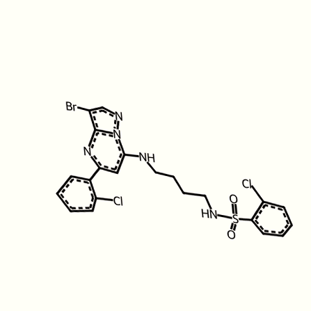 O=S(=O)(NCCCCNc1cc(-c2ccccc2Cl)nc2c(Br)cnn12)c1ccccc1Cl